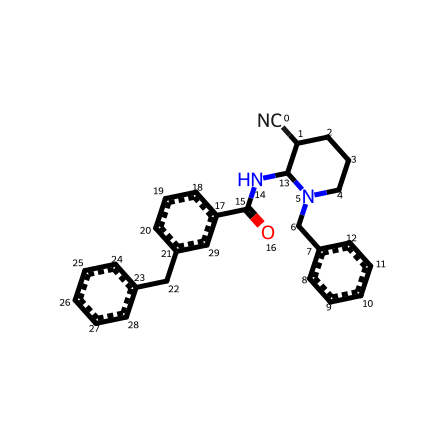 N#CC1CCCN(Cc2ccccc2)C1NC(=O)c1cccc(Cc2ccccc2)c1